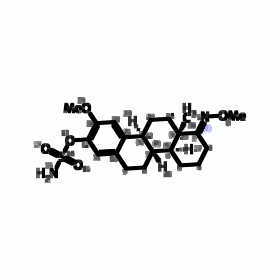 CO/N=C1\CCC[C@H]2[C@@H]3CCc4cc(OS(N)(=O)=O)c(OC)cc4[C@H]3CC[C@]12C